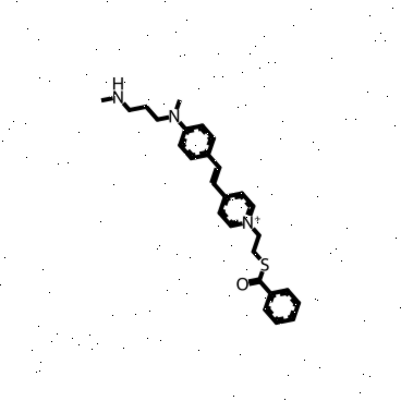 CNCCCN(C)c1ccc(/C=C/c2cc[n+](CCSC(=O)c3ccccc3)cc2)cc1